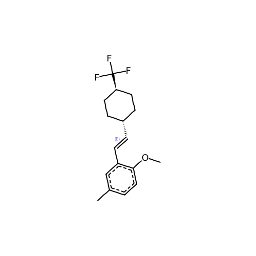 COc1ccc(C)cc1/C=C/[C@H]1CC[C@H](C(F)(F)F)CC1